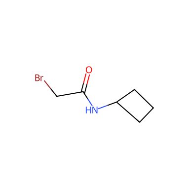 O=C(CBr)NC1CCC1